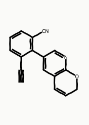 C#Cc1cccc(C#N)c1-c1cnc2c(c1)C=CCO2